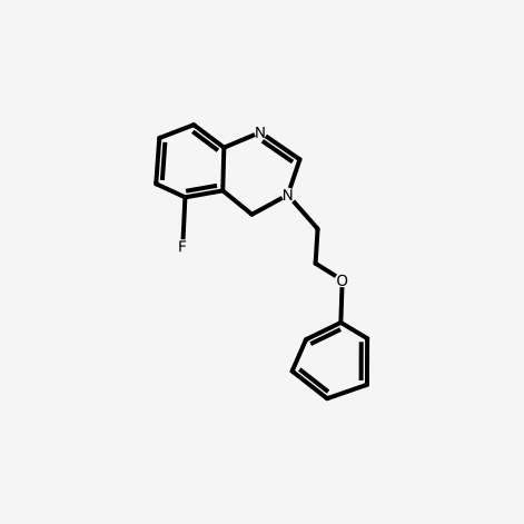 Fc1cccc2c1CN(CCOc1ccccc1)C=N2